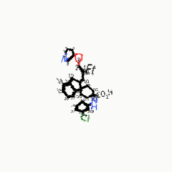 CC[C@H](COc1cccnc1)CC1Cc2ccccc2C12CCC(Nc1cccc(Cl)c1)(C(=O)O)CC2